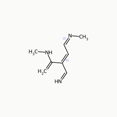 C=C(NC)/C(C=N)=C\C=N/C